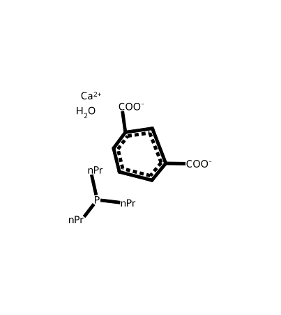 CCCP(CCC)CCC.O.O=C([O-])c1cccc(C(=O)[O-])c1.[Ca+2]